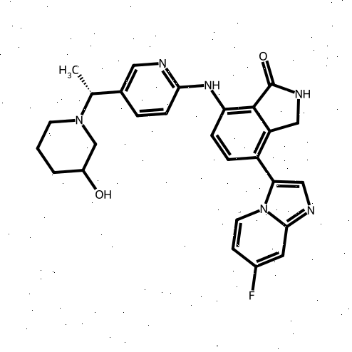 C[C@H](c1ccc(Nc2ccc(-c3cnc4cc(F)ccn34)c3c2C(=O)NC3)nc1)N1CCCC(O)C1